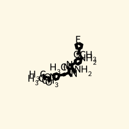 C[C@H](Oc1cc(-c2nn(C)c3c(C#CC4CCN(C(=O)OC(C)(C)C)CC4)cnc(N)c23)ccc1N)c1ccc(F)cc1